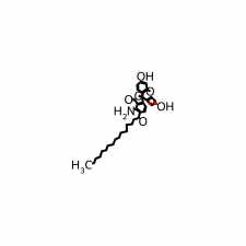 CCCCCCCCCCCCCCCC(=O)c1ccc2c(c1N)C(=O)OC21c2ccc(O)cc2Oc2cc(O)ccc21